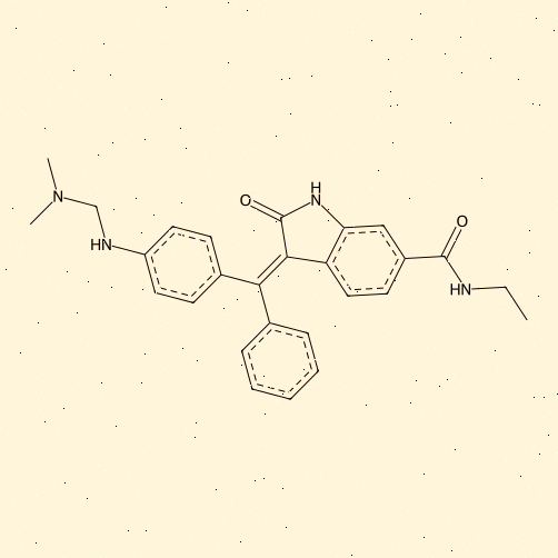 CCNC(=O)c1ccc2c(c1)NC(=O)/C2=C(/c1ccccc1)c1ccc(NCN(C)C)cc1